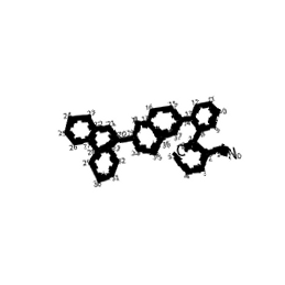 N#Cc1ccccc1-c1ccccc1-c1ccc2cc(-c3cc4ccccc4c4ccccc34)ccc2c1